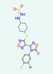 O=c1onc(-c2nonc2SC2CCC(NN[SH](=O)=O)CC2)n1-c1ccc(F)c(Br)c1